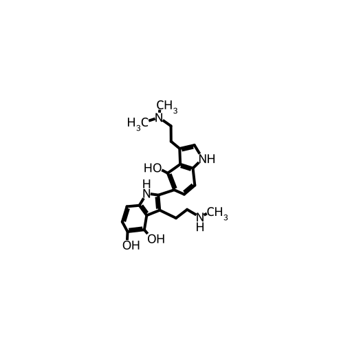 CNCCc1c(-c2ccc3[nH]cc(CCN(C)C)c3c2O)[nH]c2ccc(O)c(O)c12